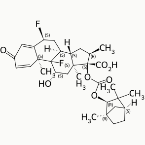 C[C@@H]1C[C@H]2[C@@H]3C[C@H](F)C4=CC(=O)C=C[C@]4(C)C3(F)[C@@H](O)C[C@]2(C)[C@]1(OC(=O)O[C@H]1C(C)(C)[C@H]2CC[C@]1(C)C2)C(=O)O